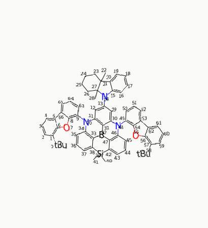 CC(C)(C)c1cccc2c1oc1c(N3c4cc(N5c6ccccc6C6(C)CCCCC56C)cc5c4B4c6c3cccc6[Si](C)(C)c3cccc(c34)N5c3cccc4c3oc3c(C(C)(C)C)cccc34)cccc12